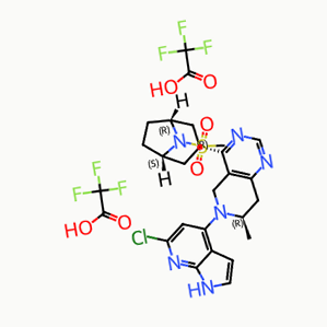 C[C@@H]1Cc2ncnc([C@H]3C[C@H]4CC[C@@H](C3)N4S(C)(=O)=O)c2CN1c1cc(Cl)nc2[nH]ccc12.O=C(O)C(F)(F)F.O=C(O)C(F)(F)F